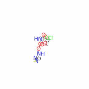 CCOC(=O)C1=C(COCCOCCNCc2cccc3nsnc23)NC(C)=C(C(=O)OC)C1c1cccc(Cl)c1Cl